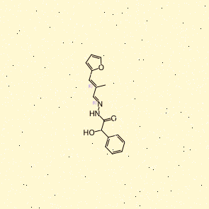 CC(/C=N/NC(=O)C(O)c1ccccc1)=C\c1ccco1